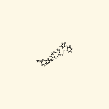 CCC1(C(O)CC2c3ccccc3-c3cncn32)CC2CCC(Nc3nc4cc(C#N)ccc4o3)C(C2)C1